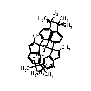 CC1=Cc2ccc(C(C)(C)C)cc2C1(c1ccc(C(C)(C)C)cc1)[Si](C)(C)C1(c2ccc(C(C)(C)C)cc2)C(C)=Cc2ccc(C(C)(C)C)cc21